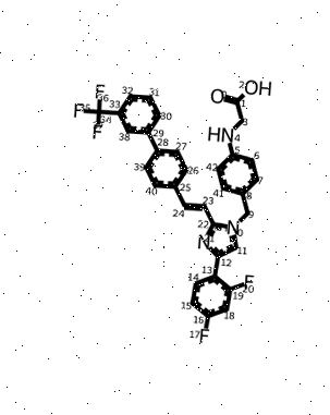 O=C(O)CNc1ccc(Cn2cc(-c3ccc(F)cc3F)nc2/C=C/c2ccc(-c3cccc(C(F)(F)F)c3)cc2)cc1